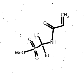 C=CC(=O)NC(C)(CC)S(=O)(=O)OC